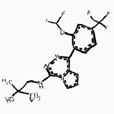 CC(C)(O)CNc1nnc(-c2ccc(C(F)(F)F)cc2OC(F)F)c2cccn12